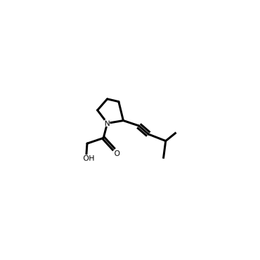 CC(C)C#CC1CCCN1C(=O)CO